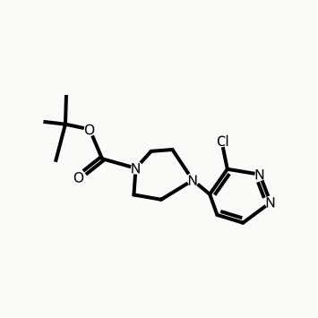 CC(C)(C)OC(=O)N1CCN(c2ccnnc2Cl)CC1